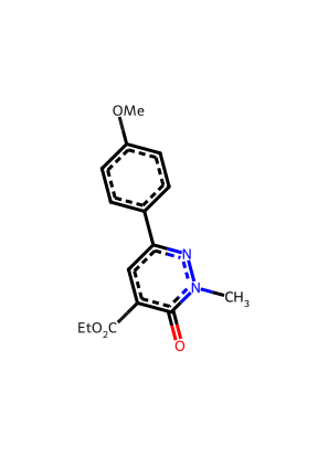 CCOC(=O)c1cc(-c2ccc(OC)cc2)nn(C)c1=O